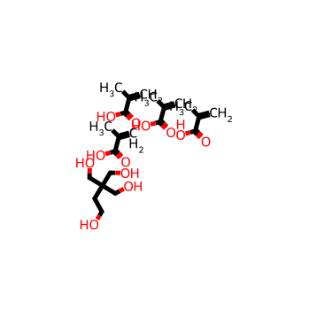 C=C(C)C(=O)O.C=C(C)C(=O)O.C=C(C)C(=O)O.C=C(C)C(=O)O.OCCC(CO)(CO)CO